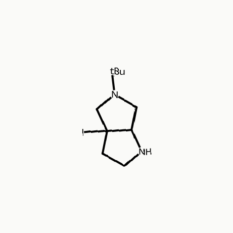 CC(C)(C)N1CC2NCCC2(I)C1